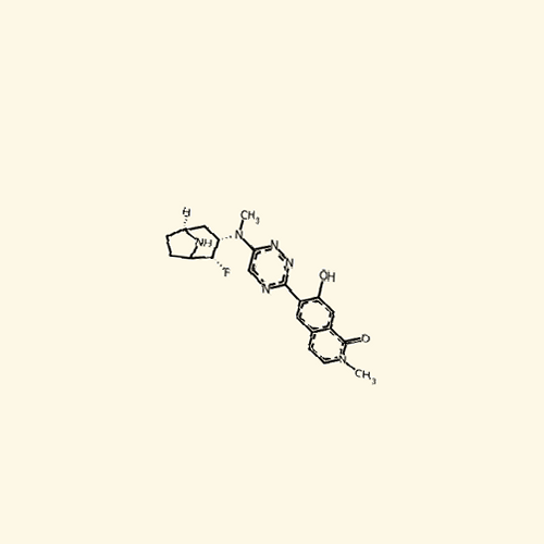 CN(c1cnc(-c2cc3ccn(C)c(=O)c3cc2O)nn1)[C@H]1C[C@@H]2CCC(N2)[C@H]1F